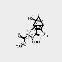 CC1C2C=CC(C3(S)CC23)C1(C)C(=O)N(C=O)NC(=O)OC(C)(C)C